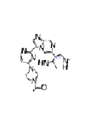 CN/C=C(\C(C)=N)c1cn2c(-c3nccc(N4CCN(C(C)=O)CC4)n3)cnc2cn1